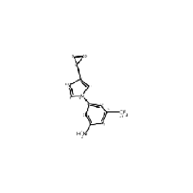 Nc1cc(-n2cnc(C3CC3)c2)cc(C(F)(F)F)c1